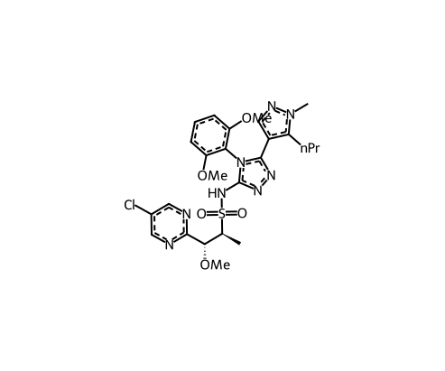 CCCc1c(-c2nnc(NS(=O)(=O)[C@@H](C)[C@H](OC)c3ncc(Cl)cn3)n2-c2c(OC)cccc2OC)cnn1C